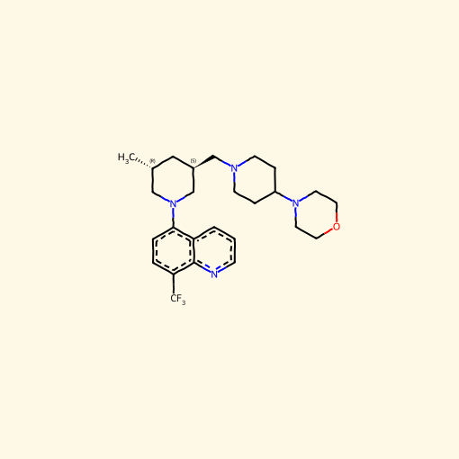 C[C@@H]1C[C@@H](CN2CCC(N3CCOCC3)CC2)CN(c2ccc(C(F)(F)F)c3ncccc23)C1